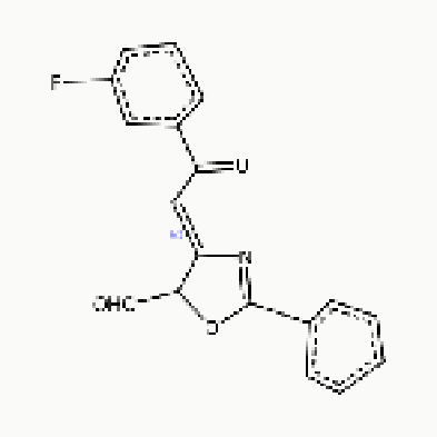 O=CC1OC(c2ccccc2)=N/C1=C\C(=O)c1cccc(F)c1